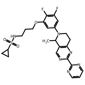 CC1c2cnc(-c3ncccn3)nc2CCN1c1cc(F)c(F)c(OCCCNS(=O)(=O)C2CC2)c1